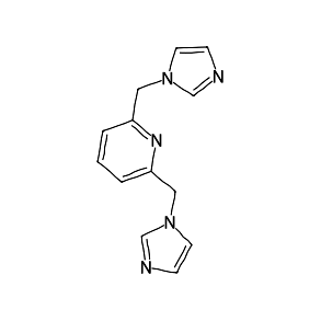 c1cc(Cn2ccnc2)nc(Cn2ccnc2)c1